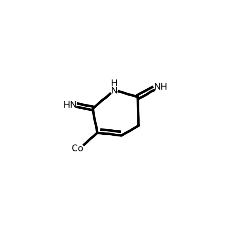 N=C1CC=[C]([Co])C(=N)N1